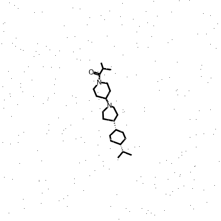 CC(C)C(=O)N1CCC(N2CCC([C@H]3CC[C@@H](C(C)C)CC3)CC2)CC1